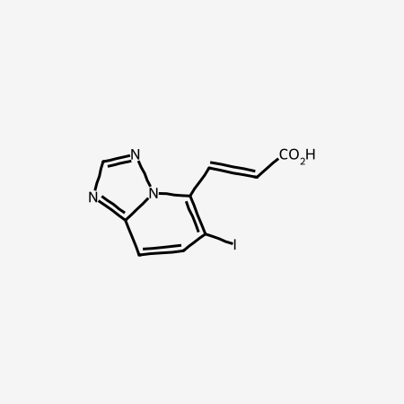 O=C(O)/C=C/c1c(I)ccc2ncnn12